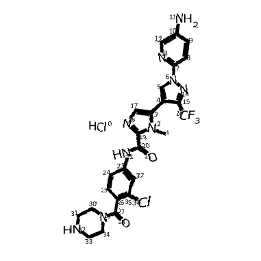 Cl.Cn1c(-c2cn(-c3ccc(N)cn3)nc2C(F)(F)F)cnc1C(=O)Nc1ccc(C(=O)N2CCNCC2)c(Cl)c1